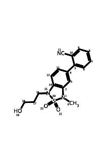 CN1c2cc(-c3ccccc3C#N)ccc2N(CCCO)S1(=O)=O